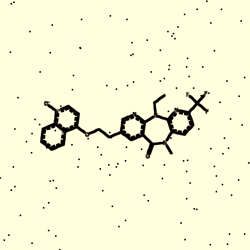 CCN1c2ncc(CCOc3cc[n+]([O-])c4ccccc34)cc2C(=O)N(C)c2ccc(C(F)(F)F)nc21